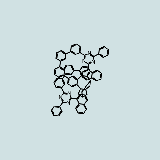 c1ccc(-c2nc(-c3cccc(-c4cccc(-c5cccc(-c6ccc7c(c6)-c6c(-c8cccc(-c9cccc(-c%10nc(-c%11ccccc%11)nc(-c%11cccc%12ccccc%11%12)n%10)c9)c8)cccc6C6CC8CC(C6)C7C8)c5)c4)c3)nc(-c3cccc4ccccc34)n2)cc1